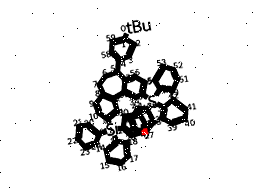 CC(C)(C)c1ccc(C2CCc3ccc([Si](c4ccccc4)(c4ccccc4)c4ccccc4)cc3-c3cc(S(c4ccccc4)(c4ccccc4)c4ccccc4)ccc32)cc1